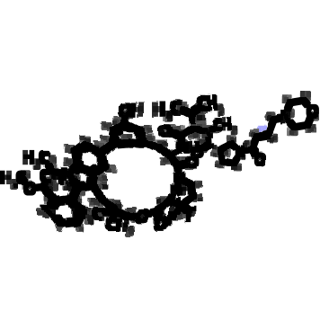 CCn1c(-c2cccnc2[C@H](C)OC)c2c3cc(ccc31)-c1cc(O)cc(c1)C[C@H](NC(=O)[C@H](C(C)C)N(C)C(=O)[C@H]1CCN(C(=O)/C=C/CN3CCOCC3)C1)C(=O)N1CCC(F)(F)[C@H](N1)C(=O)OCC(C)(C)C2